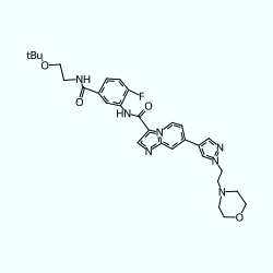 CC(C)(C)OCCNC(=O)c1ccc(F)c(NC(=O)c2cnc3cc(-c4cnn(CCN5CCOCC5)c4)ccn23)c1